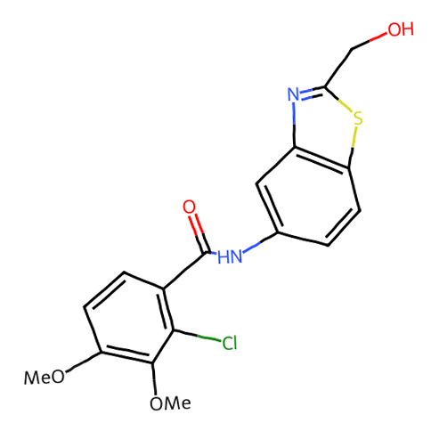 COc1ccc(C(=O)Nc2ccc3sc(CO)nc3c2)c(Cl)c1OC